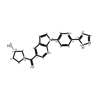 O=C(c1cnc2c(ccn2-c2ccc(-c3ncn[nH]3)nc2)c1)N1CC[C@H](O)C1